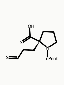 CCCCCN1CCC[C@@]1(CCC=S)C(O)=S